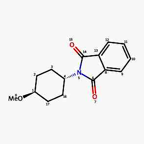 CO[C@H]1CC[C@H](N2C(=O)c3ccccc3C2=O)CC1